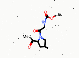 COC(=O)C1CC(C)CN1C(=O)CNC(=O)OC(C)(C)C